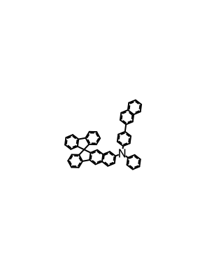 c1ccc(N(c2ccc(-c3ccc4ccccc4c3)cc2)c2ccc3cc4c(cc3c2)C2(c3ccccc3-c3ccccc32)c2ccccc2-4)cc1